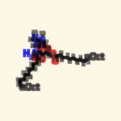 CCCCCCCC/C=C\CCCCCCCC(=O)OCC(OCCN(C)C(=NC)N(C)C)C(OC(=O)CCCCCCC/C=C\CCCCCCCC)C(N)=O